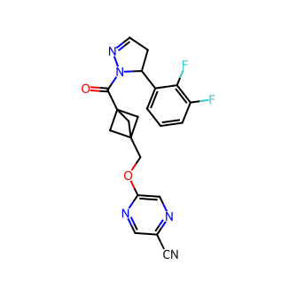 N#Cc1cnc(OCC23CC(C(=O)N4N=CCC4c4cccc(F)c4F)(C2)C3)cn1